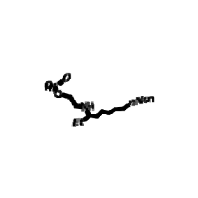 CCCCCCCCCCCCCCC(CC)NCCO[SH](=O)=O